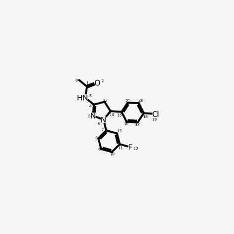 CC(=O)NC1=NN(c2cccc(F)c2)C(c2ccc(Cl)cc2)C1